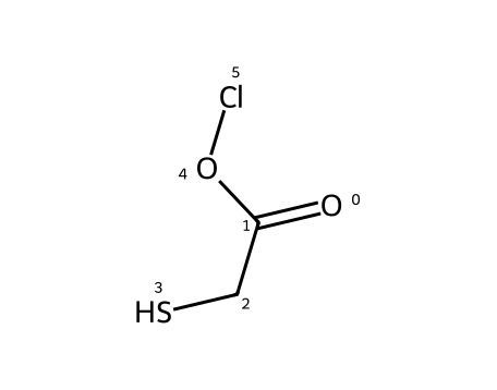 O=C(CS)OCl